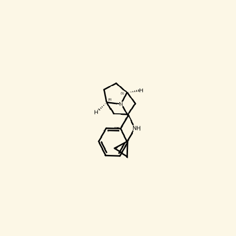 c1ccc(CN2[C@@H]3CC[C@H]2CC(NC2CC2)C3)cc1